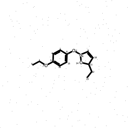 CCOc1ccc(ON2C=CC(CC)O2)cc1